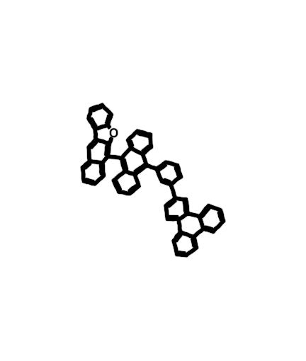 c1cc(-c2ccc3c4ccccc4c4ccccc4c3c2)cc(-c2c3ccccc3c(-c3c4ccccc4cc4c3oc3ccccc34)c3ccccc23)c1